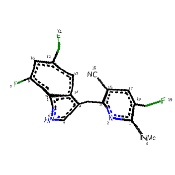 CNc1nc(-c2c[nH]c3c(F)cc(F)cc23)c(C#N)cc1F